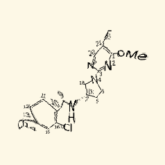 COc1nc(N2CC[C@H](NCc3ccc(Cl)cc3Cl)C2)ncc1F